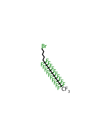 FC(F)(F)C(F)(F)C(F)(F)C(F)(F)C(F)(F)C(F)(F)C(F)(F)C(F)(F)C(F)(F)C(F)(F)C(F)(F)CCCCCBr